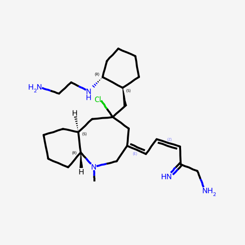 CN1C/C(=C/C=C\C(=N)CN)CC(Cl)(C[C@@H]2CCCC[C@H]2NCCN)C[C@@H]2CCCC[C@H]21